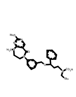 CSc1ncc2c(n1)N(C)CCN(c1cccc(COC(CCN(CC(C)(C)C)C(=O)O)c3ccccc3)c1)C2=O